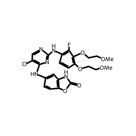 COCCOc1ccc(Nc2ncc(Cl)c(Nc3ccc4oc(=O)[nH]c4c3)n2)c(F)c1OCCOC